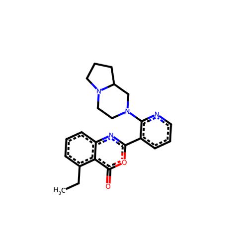 CCc1cccc2nc(-c3cccnc3N3CCN4CCCC4C3)oc(=O)c12